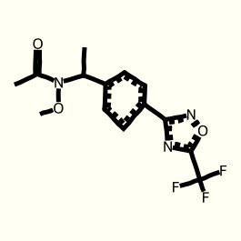 CON(C(C)=O)C(C)c1ccc(-c2noc(C(F)(F)F)n2)cc1